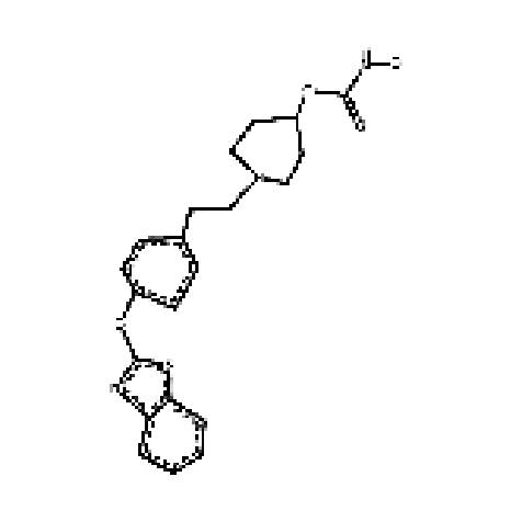 O=C(NO)OC1CCN(CCc2ccc(Oc3nc4ccccc4s3)cc2)CC1